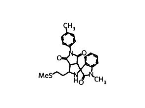 CSCCC1NC2(C(=O)N(C)c3ccccc32)C2C(=O)N(c3ccc(C)cc3)C(=O)C12